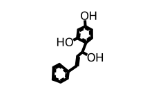 Oc1ccc(C(O)C=Cc2ccccc2)c(O)c1